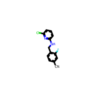 N#Cc1ccc(CNc2cccc(Cl)n2)c(F)c1